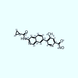 Cc1cc(C(=O)N=O)ncc1-c1ccc2cc(NC(=O)C3CC3)ncc2c1